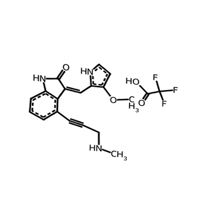 CNCC#Cc1cccc2c1C(=Cc1[nH]ccc1OC)C(=O)N2.O=C(O)C(F)(F)F